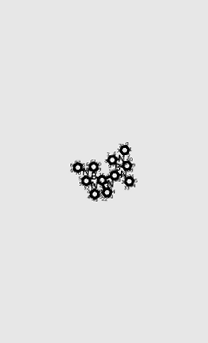 c1ccc(N2c3ccccc3B3c4cc5c6cc7c(c8c9ccccc9n(c5cc4N(c4ccccc4)c4cccc2c43)c68)N(c2ccccc2)c2cccc3c2B7c2ccccc2N3c2ccccc2)cc1